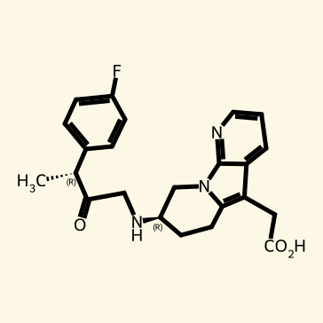 C[C@@H](C(=O)CN[C@@H]1CCc2c(CC(=O)O)c3cccnc3n2C1)c1ccc(F)cc1